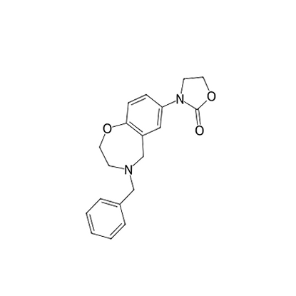 O=C1OCCN1c1ccc2c(c1)CN(Cc1ccccc1)CCO2